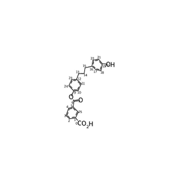 O=C(O)c1cccc(C(=O)Oc2ccc(CCCc3ccc(O)cc3)cc2)c1